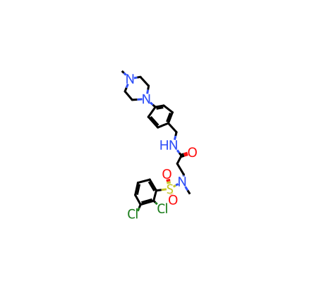 CN1CCN(c2ccc(CNC(=O)CCN(C)S(=O)(=O)c3cccc(Cl)c3Cl)cc2)CC1